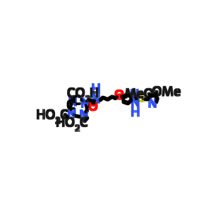 COc1ccnc(CSc2nc3cc(OCCCCCNC(=O)CN4CCN(CC(=O)O)CCN(CC(=O)O)CCN(CC(=O)O)CC4)ccc3[nH]2)c1OC